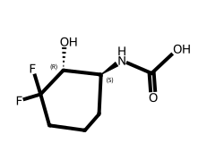 O=C(O)N[C@H]1CCCC(F)(F)[C@@H]1O